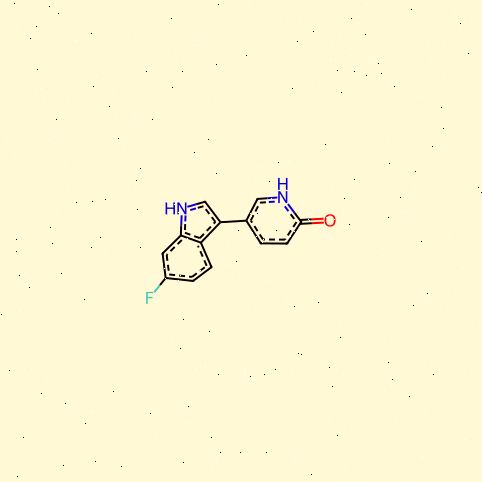 O=c1ccc(-c2c[nH]c3cc(F)ccc23)c[nH]1